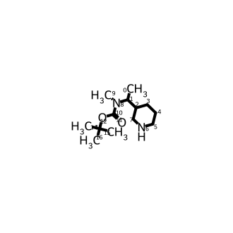 CC(C1CCCNC1)N(C)C(=O)OC(C)(C)C